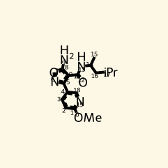 COc1ccc(-c2noc(N)c2C(=O)NC(C)CC(C)C)cn1